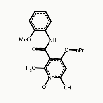 CCCOc1cc(C)[n+]([O-])c(C)c1C(=O)Nc1ccccc1OC